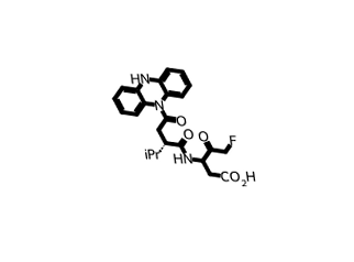 CC(C)[C@H](CC(=O)N1c2ccccc2Nc2ccccc21)C(=O)NC(CC(=O)O)C(=O)CF